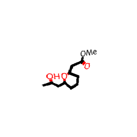 COC(=O)CC1CCCC(CC(C)O)O1